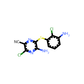 N#Cc1nc(Sc2cccc(N)c2Cl)c(N)nc1Cl